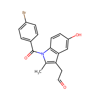 Cc1c(C[C]=O)c2cc(O)ccc2n1C(=O)c1ccc(Br)cc1